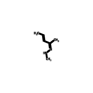 C/C=C/C(C)=N\NC